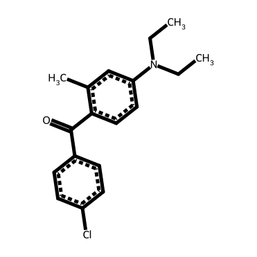 CCN(CC)c1ccc(C(=O)c2ccc(Cl)cc2)c(C)c1